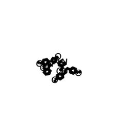 COc1ccc(CN(Cc2ccc(OC)cc2)C(=O)c2cncc(N3C[C@@H](c4ccc(OC)c(Oc5ccccc5C#N)c4)CC3=O)c2)cc1